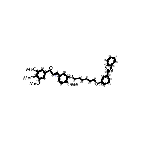 COc1ccc(/C=C/C(=O)c2cc(OC)c(OC)c(OC)c2)cc1OCCCCCCOc1cccc(-c2nc3ccccc3s2)c1